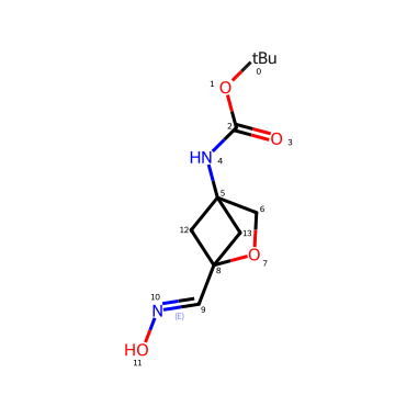 CC(C)(C)OC(=O)NC12COC(/C=N/O)(C1)C2